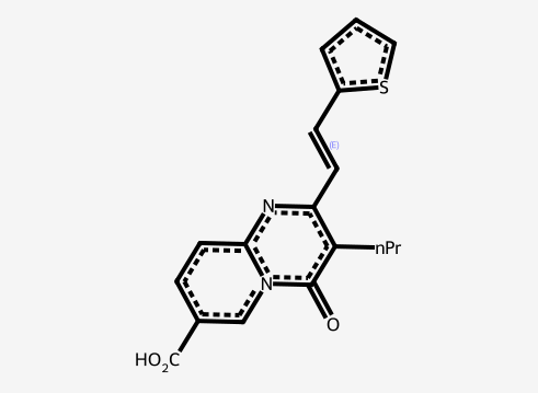 CCCc1c(/C=C/c2cccs2)nc2ccc(C(=O)O)cn2c1=O